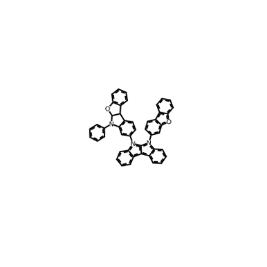 c1ccc(N2c3cc(-n4c5ccccc5c5c6ccccc6n(-c6ccc7c(c6)oc6ccccc67)c54)ccc3C3c4ccccc4OC32)cc1